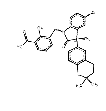 Cc1c(CN2C(=O)[C@@](C)(c3ccc4c(c3)CCC(C)(C)O4)c3cc(Cl)ccc32)cccc1C(=O)O